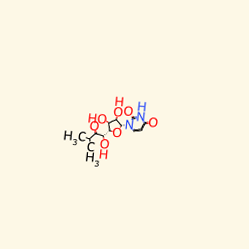 CC(C)C(=O)C(O)[C@H]1O[C@@H](n2ccc(=O)[nH]c2=O)[C@H](O)[C@@H]1O